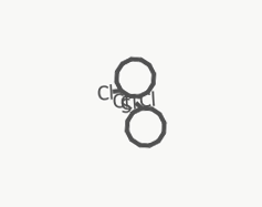 ClC1(Cl)CCCCCCCCCCC1SC1CCCCCCCCCCC1(Cl)Cl